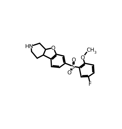 COc1ccc(F)cc1S(=O)(=O)c1ccc2c(c1)OC1CNCCC21